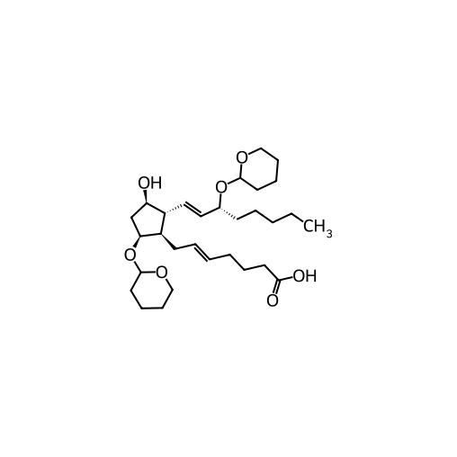 CCCCC[C@H](C=C[C@@H]1[C@@H](CC=CCCCC(=O)O)[C@@H](OC2CCCCO2)C[C@H]1O)OC1CCCCO1